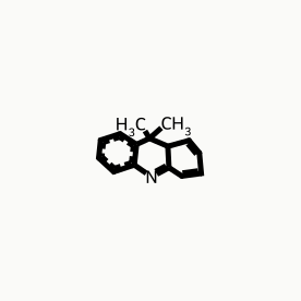 CC1(C)c2ccccc2N=C2C=CC=CC21